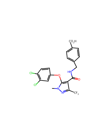 Cn1nc(C(F)(F)F)c(C(=O)NCc2ccc(C(=O)O)cc2)c1Oc1ccc(Cl)c(Cl)c1